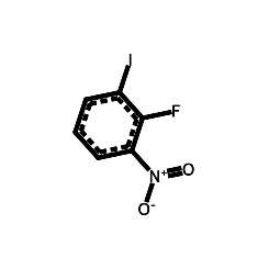 O=[N+]([O-])c1cccc(I)c1F